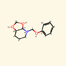 c1ccc(OCN2CCCC3OCOC32)cc1